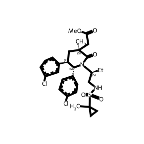 CC[C@@H](CNS(=O)(=O)C1(C)CC1)N1C(=O)[C@](C)(CC(=O)OC)C[C@H](c2cccc(Cl)c2)[C@H]1c1ccc(Cl)cc1